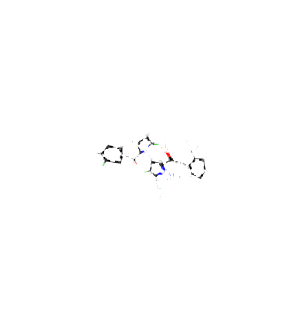 COc1cc(OC)c(C(=O)c2cc(Cl)c(Cl)n2-c2c(C(=O)c3ccccc3OC)[nH]c(Cl)c2Cl)cc1Cl